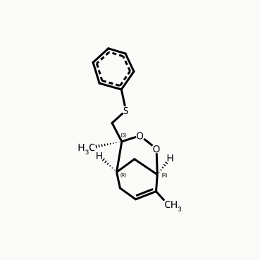 CC1=CC[C@@H]2C[C@H]1OO[C@]2(C)CSc1ccccc1